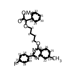 COC(=O)C(OCCCCOc1nc(-c2ccc(F)cc2)nc2cc(C)ccc12)c1ccccc1